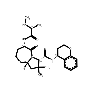 CN[C@@H](C)C(=O)N[C@H]1CCS[C@H]2CC(C)(C)[C@@H](C(=O)N[C@@H]3CCOc4ccccc43)N2C1=O